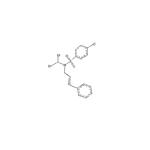 CCC(CC)N(CC=Cc1ccccc1)S(=O)(=O)c1ccc(Cl)cc1